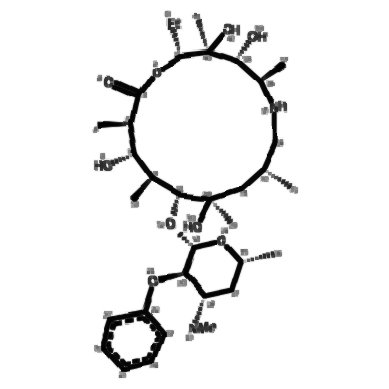 CC[C@H]1OC(=O)[C@H](C)[C@@H](O)[C@H](C)[C@@H](O[C@@H]2O[C@H](C)C[C@H](NC)[C@H]2Oc2ccccc2)[C@](C)(O)C[C@@H](C)CN[C@H](C)[C@@H](O)[C@]1(C)O